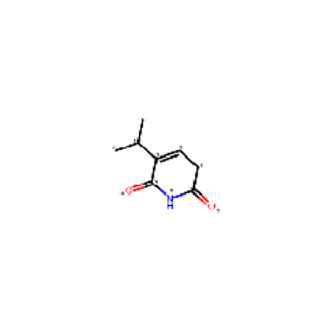 CC(C)C1=CCC(=O)NC1=O